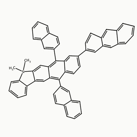 C[Si]1(C)c2ccccc2-c2cc3c(-c4ccc5ccccc5c4)c4ccc(-c5ccc6cc7ccccc7cc6c5)cc4c(-c4ccc5ccccc5c4)c3cc21